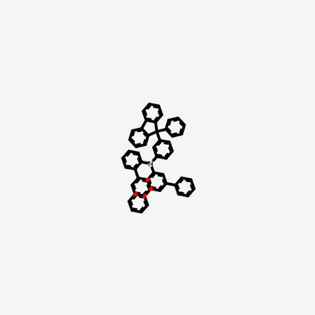 c1ccc(-c2cc(-c3ccccc3)cc(N(c3cccc(C4(c5ccccc5)c5ccccc5-c5ccccc54)c3)c3ccccc3-c3ccccc3)c2)cc1